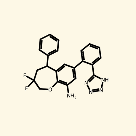 Nc1cc(-c2ccccc2-c2nnn[nH]2)cc2c1OCC(F)(F)CC2c1ccccc1